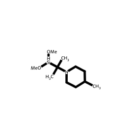 CO[SiH](OC)C(C)(C)N1CCC(C)CC1